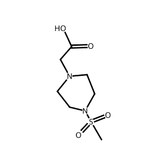 CS(=O)(=O)N1CCN(CC(=O)O)CC1